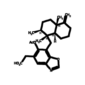 C=C1CCC[C@H]2[C@](C)(Cc3c(OC(C)=O)c(CC(=O)O)cc4ncoc34)[C@@H](C)CC[C@]12C